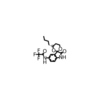 CCCC[C@@H]1CCOC2(O1)C(=O)Nc1ccc(NC(=O)C(F)(F)F)cc12